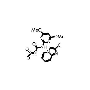 COc1cc(OC)nc(NC(=O)N=S(=O)=O)n1.Clc1cn2ccccc2n1